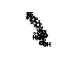 CC1CN(Cc2ccc(-c3ccc(C(F)(F)F)cc3)cc2)C(=O)C(C(=O)NCC(=O)O)=C1O